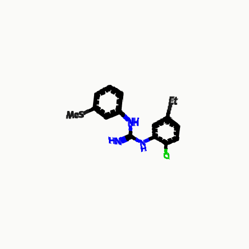 CCc1ccc(Cl)c(NC(=N)Nc2cccc(SC)c2)c1